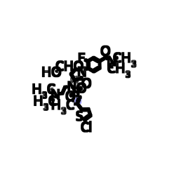 C/C(=C\S(=O)(=O)N(CCN(C)C)[C@H]1CCN(c2ccc(C(=O)N(C)C)cc2F)C1=O)c1ccc(Cl)s1.O=CO